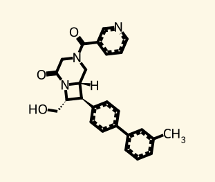 Cc1cccc(-c2ccc([C@@H]3[C@H]4CN(C(=O)c5cccnc5)CC(=O)N4[C@H]3CO)cc2)c1